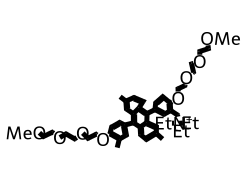 CC[N+](CC)(CC)Cc1cc(-c2c3ccc(C)cc3c(-c3ccc(OCCOCCOCCOC)c(C)c3)c3ccc(C)cc23)ccc1OCCOCCOCCOC